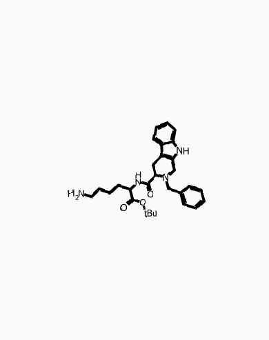 CC(C)(C)OC(=O)C(CCCCN)NC(=O)C1Cc2c([nH]c3ccccc23)CN1Cc1ccccc1